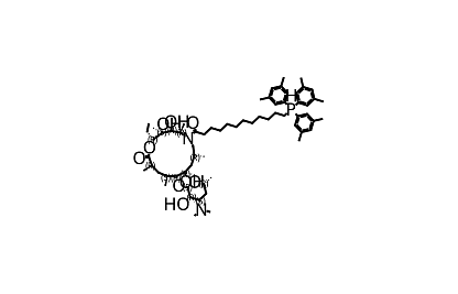 CC[C@H]1OC(=O)[C@H](C)C[C@H](C)[C@@H](O[C@@H]2O[C@H](C)C[C@H](N(C)C)[C@H]2O)[C@](C)(O)C[C@@H](C)CN(C(=O)CCCCCCCCCCC[PH](c2cc(C)cc(C)c2)(c2cc(C)cc(C)c2)c2cc(C)cc(C)c2)[C@H](C)[C@@H](O)[C@]1(C)O